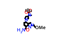 COCCn1cc2c(N3CCC(N(C)C(=O)OC(C)(C)C)C3)ccc(C(N)=O)c2n1